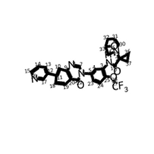 O=C(Nc1cc(-n2cnc3cc(-c4cccnc4)ccc3c2=O)ccc1OC(F)(F)F)C1(N2CC3CC(C2)O3)CC1